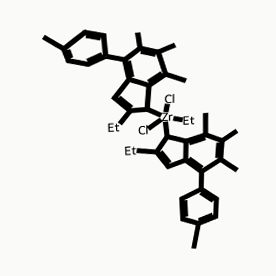 CCC1=Cc2c(-c3ccc(C)cc3)c(C)c(C)c(C)c2[CH]1[Zr]([Cl])([Cl])([CH2]C)[CH]1C(CC)=Cc2c(-c3ccc(C)cc3)c(C)c(C)c(C)c21